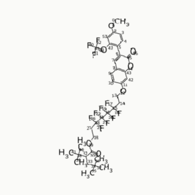 COc1ccc(-c2cc3ccc(OCCC(F)(F)C(F)(F)C(F)(F)C(F)(F)CCOC(=O)C(CC(C)(C)C)C(C)(C)C)cc3oc2=O)c(OC(F)(F)F)c1